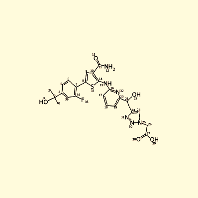 CC(C)(O)c1ccc(-c2cc(C(N)=O)c(Nc3cccc(C(O)c4cn(CC(=O)O)nn4)n3)s2)c(F)c1